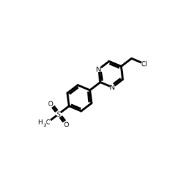 CS(=O)(=O)c1ccc(-c2ncc(CCl)cn2)cc1